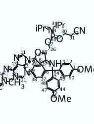 COc1ccc(C(N[C@H]2C[C@H](n3cnc4c(/N=C\N(C)C)ncnc43)O[C@@H]2COP(OCCC#N)N(C(C)C)C(C)C)(c2ccccc2)c2ccc(OC)cc2)cc1